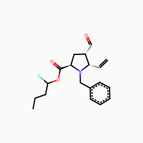 C=C[C@H]1[C@@H](C=O)C[C@H](C(=O)OC(F)CCC)N1Cc1ccccc1